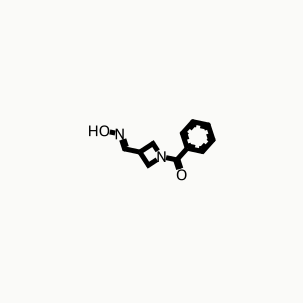 O=C(c1ccccc1)N1CC(C=NO)C1